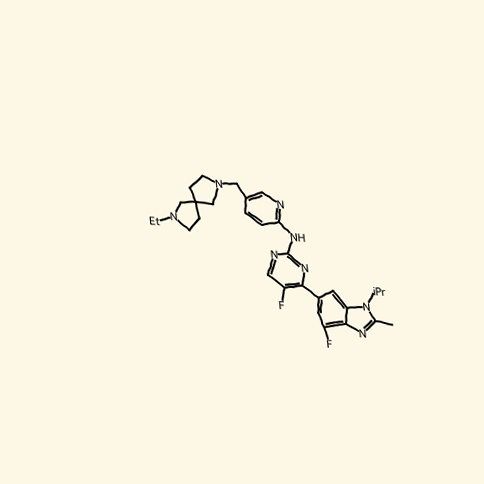 CCN1CCC2(CCN(Cc3ccc(Nc4ncc(F)c(-c5cc(F)c6nc(C)n(C(C)C)c6c5)n4)nc3)C2)C1